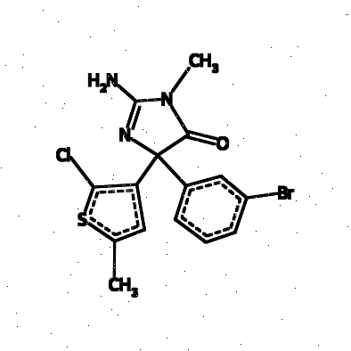 Cc1cc(C2(c3cccc(Br)c3)N=C(N)N(C)C2=O)c(Cl)s1